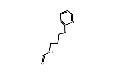 O=[C]NCCCCc1ccccn1